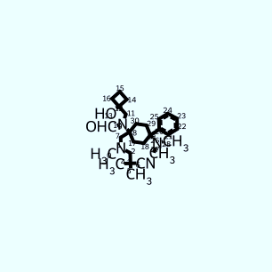 CN(CC(C)(C)C#N)CC1(N(C=O)CC2(O)CCC2)CCC(c2ccccc2)(N(C)C)CC1